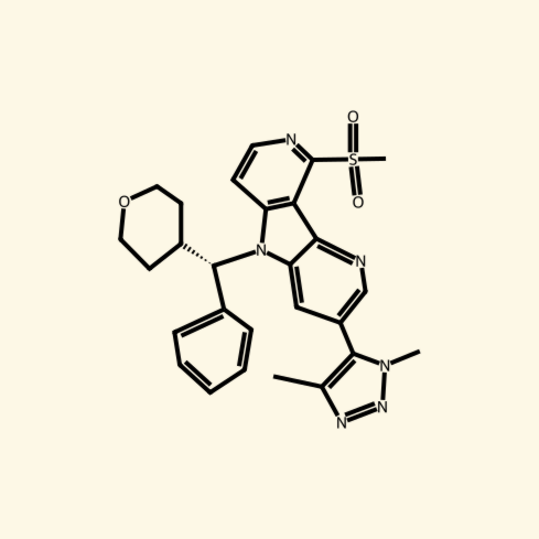 Cc1nnn(C)c1-c1cnc2c3c(S(C)(=O)=O)nccc3n([C@H](c3ccccc3)C3CCOCC3)c2c1